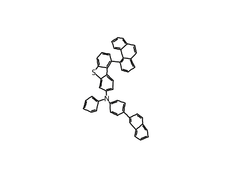 c1ccc(N(c2ccc(-c3ccc4ccccc4c3)cc2)c2ccc3c(c2)sc2cccc(-c4cccc5ccc6ccccc6c45)c23)cc1